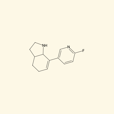 Fc1ccc(C2=CCCC3CCNC23)cn1